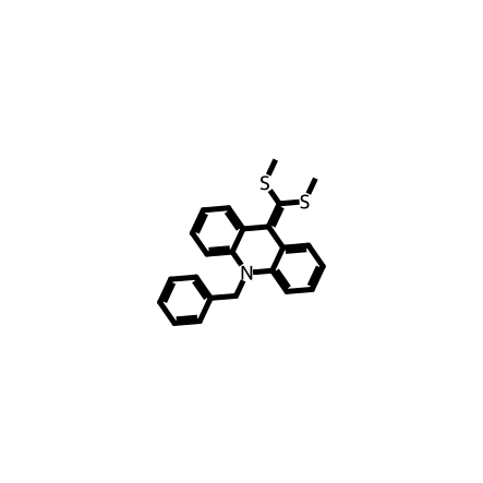 CSC(SC)=C1c2ccccc2N(Cc2ccccc2)c2ccccc21